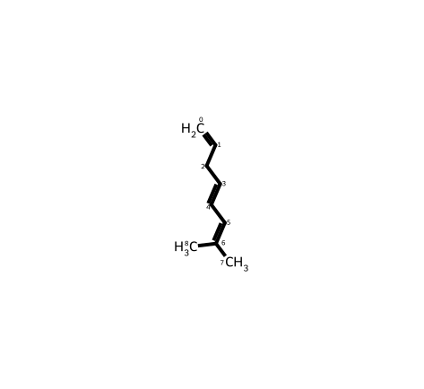 C=CCC=CC=C(C)C